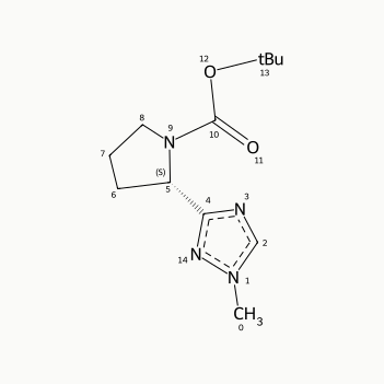 Cn1cnc([C@@H]2CCCN2C(=O)OC(C)(C)C)n1